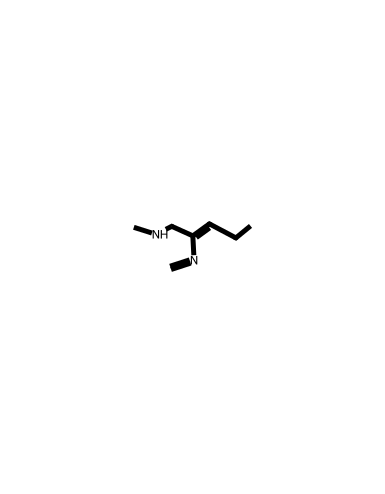 C=N/C(=C\CC)CNC